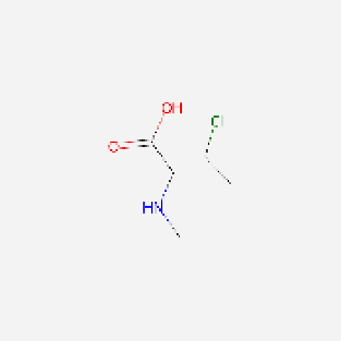 CCCl.CNCC(=O)O